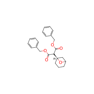 O=C(OCc1ccccc1)C(C(=O)OCc1ccccc1)[C@@]12CCCC(C1)O2